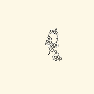 C/C=C/[C@H]1O[C@@](O)([C@@H](C)[C@H](O)[C@H](C)[C@H]2OC(=O)/C(OC)=C/C(C)=C/[C@@H](C)[C@@H](O)C(CC)[C@@H](O)[C@H](C)C/C(C)=C/C=C/[C@@H]2O)C[C@@H](O[C@@H]2C[C@H](OC(C)=O)[C@@H](OC(C)=O)[C@H](C)O2)[C@@H]1C